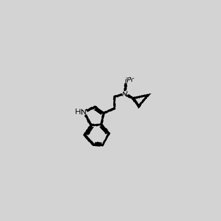 CC(C)N(CCc1c[nH]c2ccccc12)C1CC1